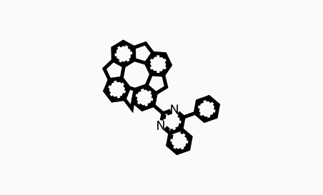 c1ccc(-c2nc(-c3cc4c5c6c3Cc3ccc7c(c3-6)-c3c(ccc6c3-c3c(ccc(c3-5)C4)C6)C7)nc3ccccc23)cc1